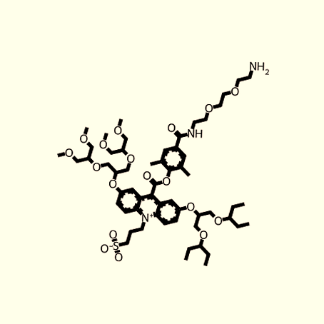 CCC(CC)OCC(COC(CC)CC)Oc1ccc2c(c1)c(C(=O)Oc1c(C)cc(C(=O)NCCOCCOCCN)cc1C)c1cc(OC(COC(COC)COC)COC(COC)COC)ccc1[n+]2CCCS(=O)(=O)[O-]